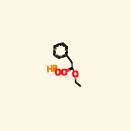 CCOC(=O)Cc1ccccc1.O=P